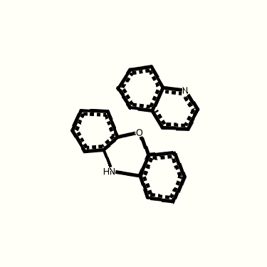 c1ccc2c(c1)Nc1ccccc1O2.c1ccc2ncccc2c1